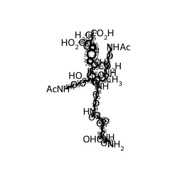 CC(=O)NCCOCCOCCNC(=O)C(C)CC(CC(CC(CC(CC(C)C(=O)O)c1ccc2c(c1)CCc1ccc(C(CC(C)C(=O)O)CC(C)C(=O)O)cc1CC2)C(=O)O)C(=O)NCCOCCOCCNC(C)=O)C(=O)NCCOCCOCCNC(=O)OCCS(=O)(=O)CCSCC(C=O)NC(=O)CN